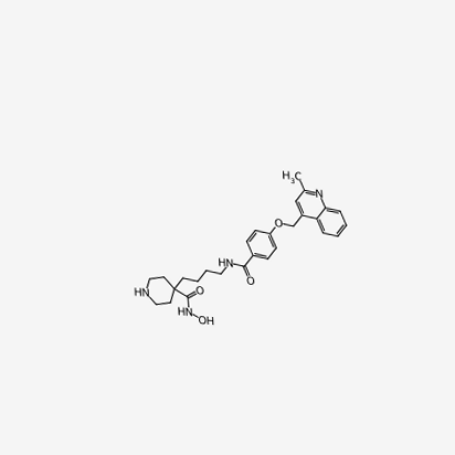 Cc1cc(COc2ccc(C(=O)NCCCCC3(C(=O)NO)CCNCC3)cc2)c2ccccc2n1